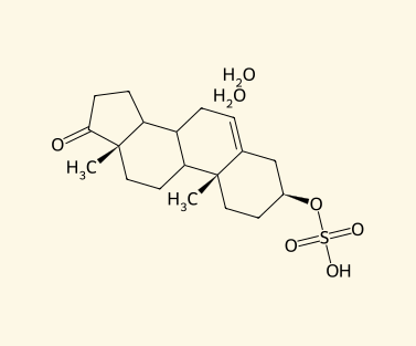 C[C@]12CC[C@H](OS(=O)(=O)O)CC1=CCC1C2CC[C@]2(C)C(=O)CCC12.O.O